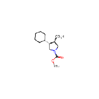 CC(C)(C)OC(=O)N1C[C@H](C(=O)O)[C@@H](C2CCCCC2)C1